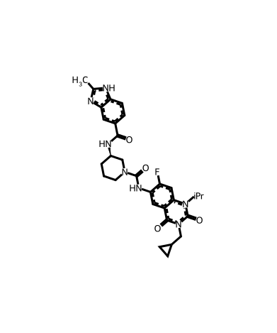 Cc1nc2cc(C(=O)N[C@@H]3CCCN(C(=O)Nc4cc5c(=O)n(CC6CC6)c(=O)n(C(C)C)c5cc4F)C3)ccc2[nH]1